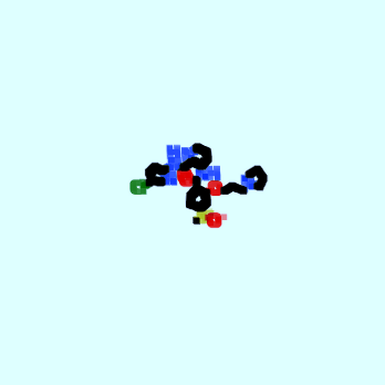 C[S+]([O-])c1ccc(C(=O)Nc2cccnc2C(=O)Nc2ccc(Cl)cn2)c(OCCCN2CCCC2)c1